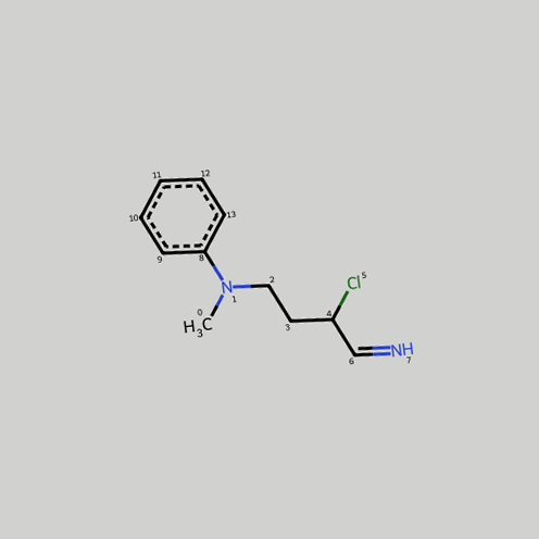 CN(CCC(Cl)C=N)c1ccccc1